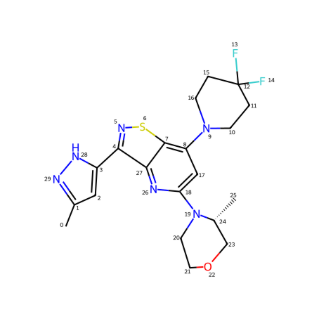 Cc1cc(-c2nsc3c(N4CCC(F)(F)CC4)cc(N4CCOC[C@H]4C)nc23)[nH]n1